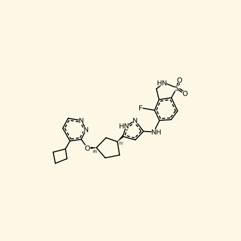 O=S1(=O)NCc2c1ccc(Nc1cc([C@H]3CC[C@@H](Oc4nnccc4C4CCC4)C3)[nH]n1)c2F